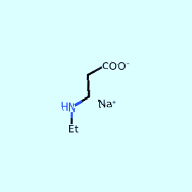 CCNCCC(=O)[O-].[Na+]